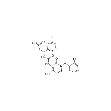 O=C(O)CC(NC(=O)Nc1c(O)ccn(Cc2ccccc2Cl)c1=O)c1cccc(Cl)c1